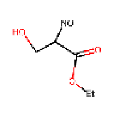 CCOC(=O)C(CO)N=O